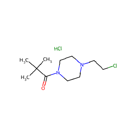 CC(C)(C)C(=O)N1CCN(CCCl)CC1.Cl